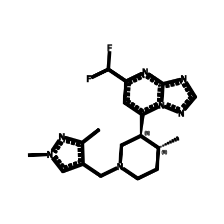 Cc1nn(C)cc1CN1CC[C@@H](C)[C@H](c2cc(C(F)F)nc3ncnn23)C1